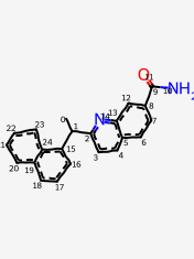 CC(c1ccc2ccc(C(N)=O)cc2n1)c1cccc2ccccc12